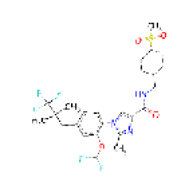 Cc1nc(C(=O)NCC2CCC(S(C)(=O)=O)CC2)cn1-c1ccc(CC(C)(C)C(F)(F)F)cc1OC(F)F